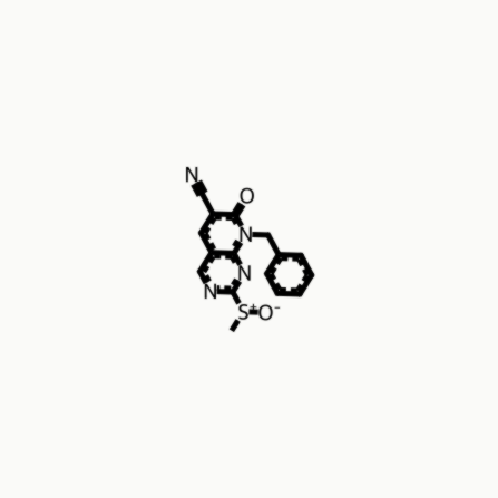 C[S+]([O-])c1ncc2cc(C#N)c(=O)n(Cc3ccccc3)c2n1